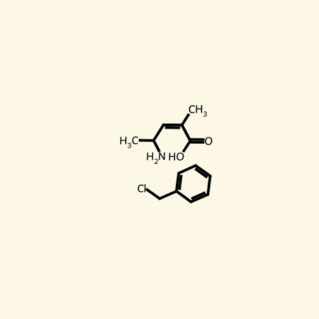 CC(=CC(C)N)C(=O)O.ClCc1ccccc1